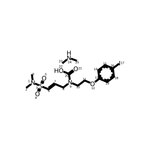 CN(C)S(=O)(=O)/C=C/CN(CCOc1ccc(I)cc1)C(=O)O.CNC